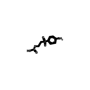 Nc1ccc(S(=O)(=O)CCOS(=O)O)cc1